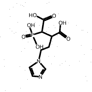 O=C(O)C(CCn1ccnc1)C(C(=O)O)P(=O)(O)O